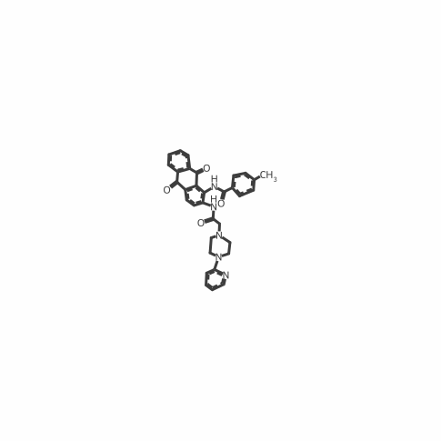 Cc1ccc(C(=O)Nc2c(NC(=O)CN3CCN(c4ccccn4)CC3)ccc3c2C(=O)c2ccccc2C3=O)cc1